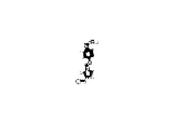 CC(C)(C)Oc1ccc(OCN2CC[C@H](CCl)C2)cc1